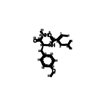 C/C=C(\CC(C)C)C(=O)N[C@@H](Cc1ccc(OC)cc1)C(=O)NC